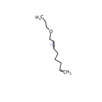 C=CCCC/C=C/COCCC